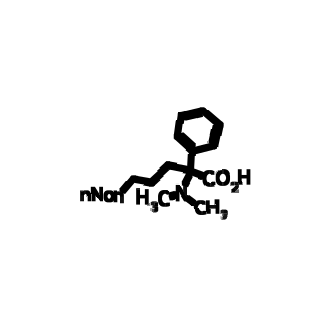 CCCCCCCCCCCCC(C(=O)O)(c1ccccc1)N(C)C